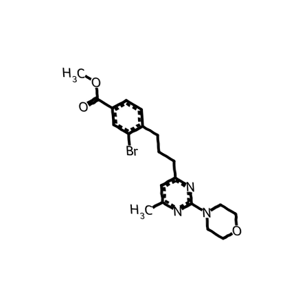 COC(=O)c1ccc(CCCc2cc(C)nc(N3CCOCC3)n2)c(Br)c1